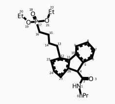 CCCNC(=O)C1c2ccccc2-c2c(CCCCP(=O)(OCC)OCC)cccc21